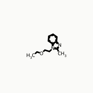 CCOCCn1c(C)nc2ccccc21